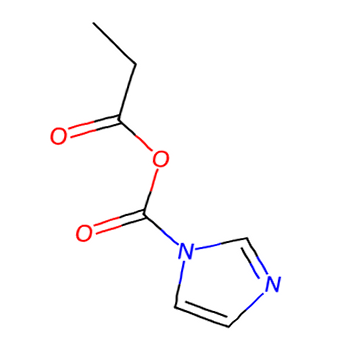 CCC(=O)OC(=O)n1ccnc1